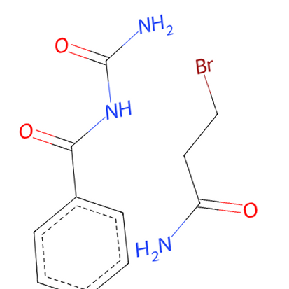 NC(=O)CCBr.NC(=O)NC(=O)c1ccccc1